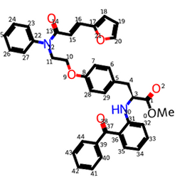 COC(=O)[C@H](Cc1ccc(OCCN(C(=O)C=Cc2ccco2)c2ccccc2)cc1)Nc1ccccc1C(=O)c1ccccc1